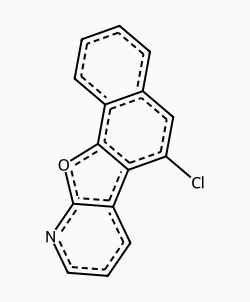 Clc1cc2ccccc2c2oc3ncccc3c12